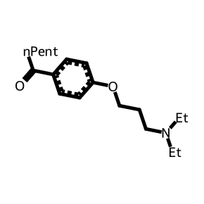 CCCCCC(=O)c1ccc(OCCCN(CC)CC)cc1